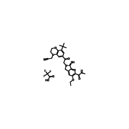 CCOc1cc2c(nc1C(=O)NC)C(=N)N(CC(=O)c1cc3c(c(C(C)(C)C)c1)OCCN3CC#N)C2.O=C(O)C(F)(F)F